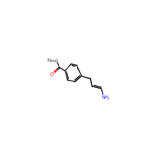 COC(=O)c1ccc(CC=CN)cc1